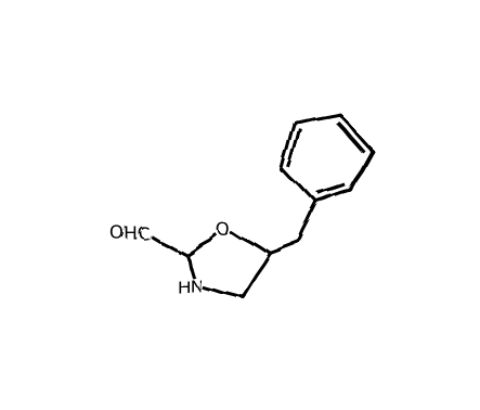 O=CC1NCC(Cc2ccccc2)O1